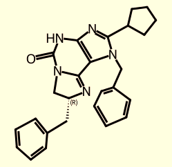 O=C1Nc2nc(C3CCCC3)n(Cc3ccccc3)c2C2=N[C@H](Cc3ccccc3)CN12